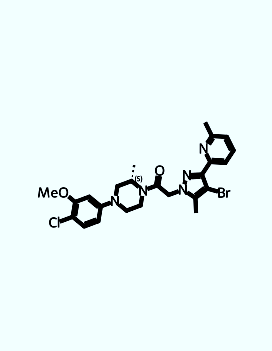 COc1cc(N2CCN(C(=O)Cn3nc(-c4cccc(C)n4)c(Br)c3C)[C@@H](C)C2)ccc1Cl